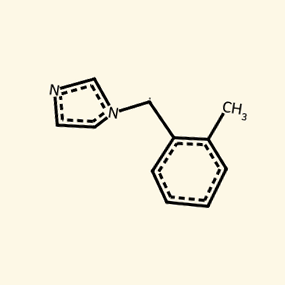 Cc1ccccc1[CH]n1ccnc1